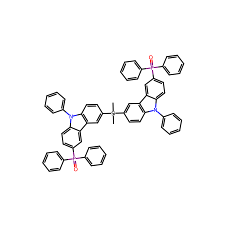 C[Si](C)(c1ccc2c(c1)c1cc(P(=O)(c3ccccc3)c3ccccc3)ccc1n2-c1ccccc1)c1ccc2c(c1)c1cc(P(=O)(c3ccccc3)c3ccccc3)ccc1n2-c1ccccc1